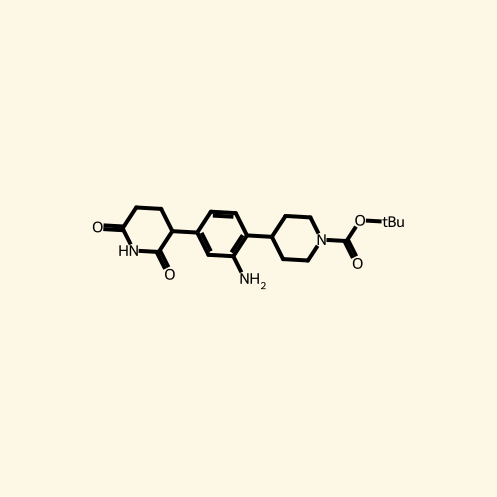 CC(C)(C)OC(=O)N1CCC(c2ccc(C3CCC(=O)NC3=O)cc2N)CC1